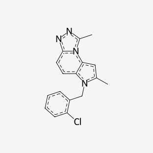 Cc1cc2c(ccc3nnc(C)n32)n1Cc1ccccc1Cl